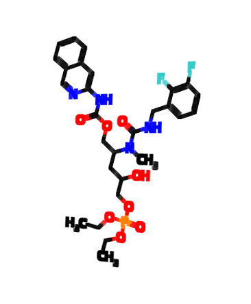 CCOP(=O)(OCC)OCC(O)CC(COC(=O)Nc1cc2ccccc2cn1)N(C)C(=O)NCc1cccc(F)c1F